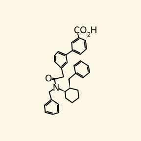 O=C(O)c1cccc(-c2cccc(CC(=O)N(Cc3ccccc3)[C@@H]3CCCC[C@@H]3Cc3ccccc3)c2)c1